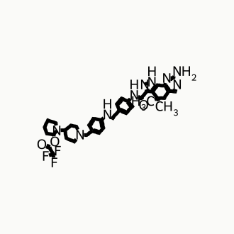 CC1(C)Cc2cnc(N)nc2-c2[nH]nc(C(=O)Nc3ccc(CNc4ccc(CN5CCC(N6CCCCC6OC(=O)C(F)(F)F)CC5)cc4)cc3)c21